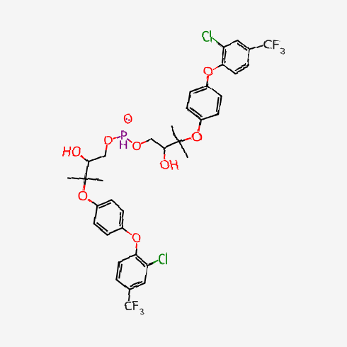 CC(C)(Oc1ccc(Oc2ccc(C(F)(F)F)cc2Cl)cc1)C(O)CO[PH](=O)OCC(O)C(C)(C)Oc1ccc(Oc2ccc(C(F)(F)F)cc2Cl)cc1